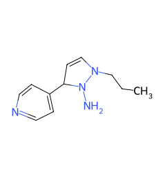 CCCN1C=CC(c2ccncc2)N1N